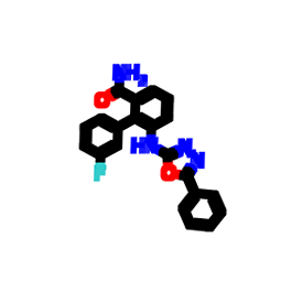 NC(=O)c1cccc(Nc2nnc(-c3ccccc3)o2)c1-c1cccc(F)c1